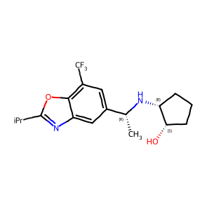 CC(C)c1nc2cc([C@@H](C)N[C@@H]3CCC[C@@H]3O)cc(C(F)(F)F)c2o1